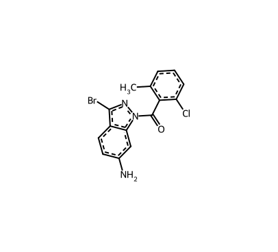 Cc1cccc(Cl)c1C(=O)n1nc(Br)c2ccc(N)cc21